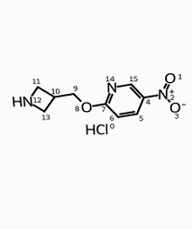 Cl.O=[N+]([O-])c1ccc(OCC2CNC2)nc1